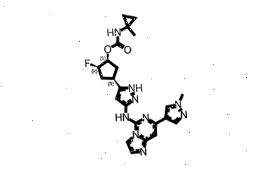 Cn1cc(-c2cc3nccn3c(Nc3cc([C@H]4C[C@@H](F)[C@@H](OC(=O)NC5(C)CC5)C4)[nH]n3)n2)cn1